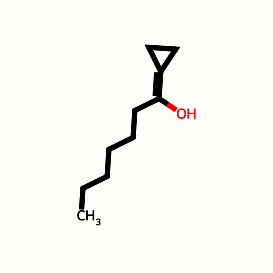 CCCCCCC(O)=C1CC1